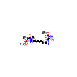 C=C(CCCCC(=C)SC(=C)NC(=O)[C@@H](NC(=O)OC(C)(C)C)C(C)C)SC(=C)NC(=O)C(NC(=O)OC(C)(C)C)C(C)C